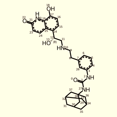 O=C(Nc1cccc(CCNC[C@H](O)c2ccc(O)c3[nH]c(=O)ccc23)c1)NC12CC3CC(CC(C3)C1)C2